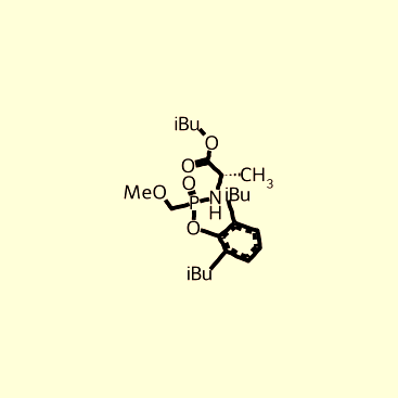 CCC(C)OC(=O)[C@H](C)NP(=O)(COC)Oc1c(C(C)CC)cccc1C(C)CC